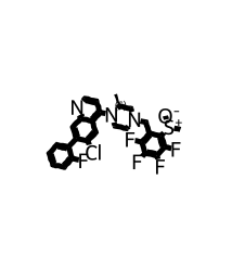 C[C@H]1CN(Cc2c(F)c(F)c(F)c(F)c2[S+](C)[O-])CCN1c1ccnc2cc(-c3ccccc3F)c(Cl)cc12